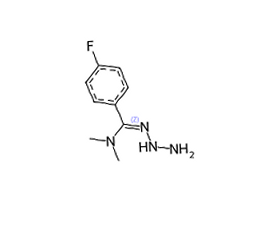 CN(C)/C(=N\NN)c1ccc(F)cc1